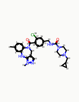 Cc1ccc2c(c1)Nc1c(cnn1C)CN2C(=O)c1ccc(CNC(=O)N2CCN(CC3CC3)CC2)cc1Cl